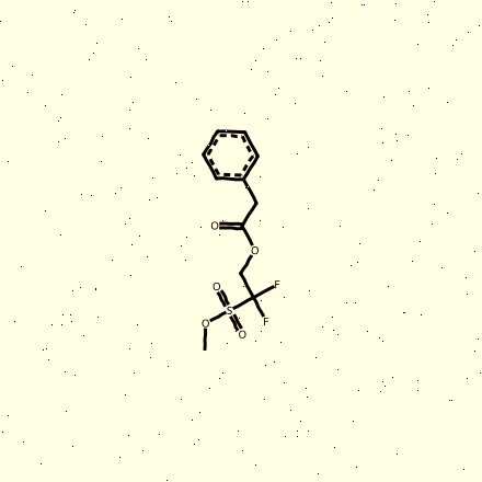 COS(=O)(=O)C(F)(F)COC(=O)Cc1ccccc1